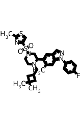 Cc1nc(S(=O)(=O)N2CCN(CC3CC(C)(C)C3)C(c3cc4cnn(-c5ccc(F)cc5)c4cc3C)C2)cs1